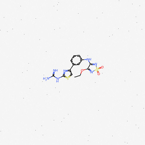 CCOC1=NS(=O)(=O)N=C1Nc1cccc(-c2csc(NC(=N)N)n2)c1